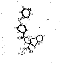 O=C(NO)C1(CS(=O)(=O)c2ccc(Oc3ccncc3)cc2)CC2OCOC2C1